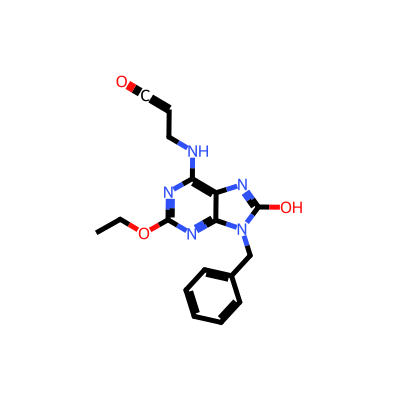 CCOc1nc(NCC=C=O)c2nc(O)n(Cc3ccccc3)c2n1